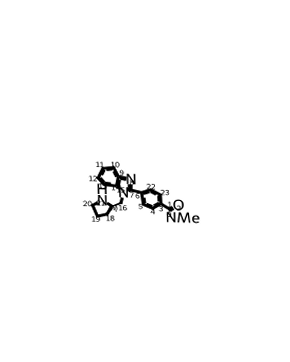 CNC(=O)c1ccc(-c2nc3ccccc3n2C[C@H]2CCCN2)cc1